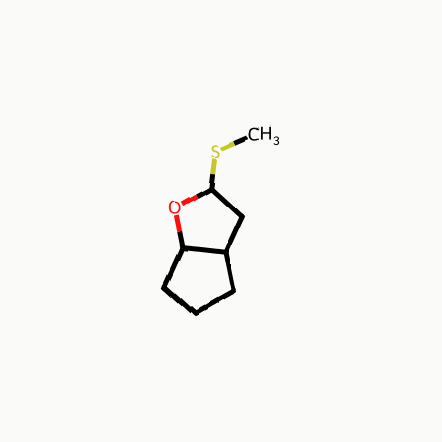 CSC1CC2CCCC2O1